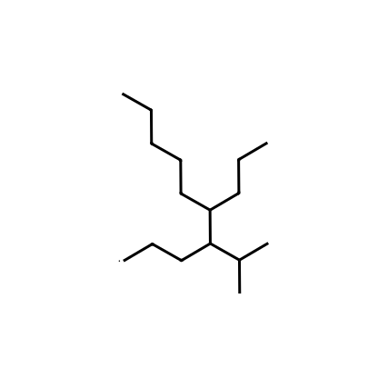 [CH2]CCC(C(C)C)C(CCC)CCCCC